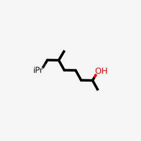 CC(C)CC(C)CCCC(C)O